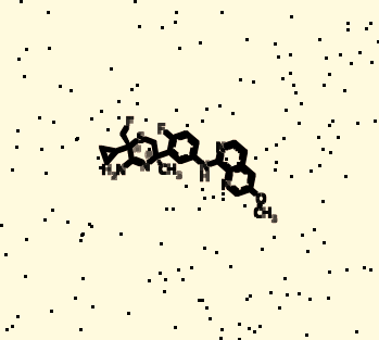 COc1cnc2c(Nc3ccc(F)c([C@]4(C)CS[C@@](CF)(C5CC5)C(N)=N4)c3)nccc2c1